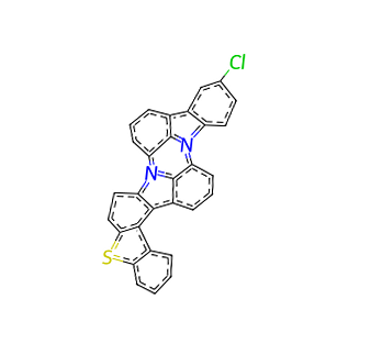 Clc1ccc2c(c1)c1cccc3c1n2c1cccc2c4c5c(ccc4n3c21)sc1ccccc15